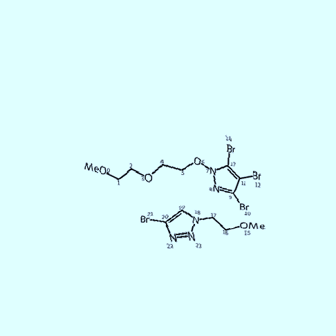 COCCOCCOn1nc(Br)c(Br)c1Br.COCCn1cc(Br)nn1